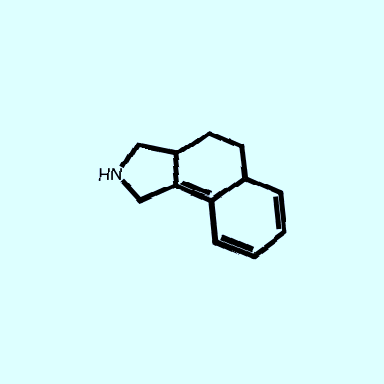 C1=CC2=C3CNCC3CCC2C=C1